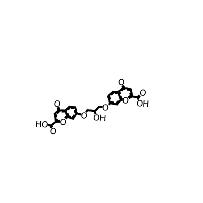 O=C(O)c1cc(=O)c2ccc(OCC(O)COc3ccc4c(=O)cc(C(=O)O)oc4c3)cc2o1